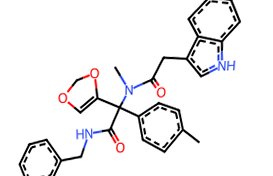 Cc1ccc(C(C(=O)NCc2ccccc2)(C2=COCO2)N(C)C(=O)Cc2c[nH]c3ccccc23)cc1